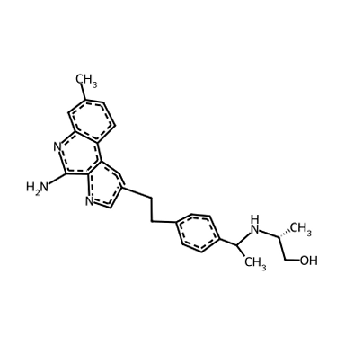 Cc1ccc2c(c1)nc(N)c1ncc(CCc3ccc(C(C)N[C@H](C)CO)cc3)cc12